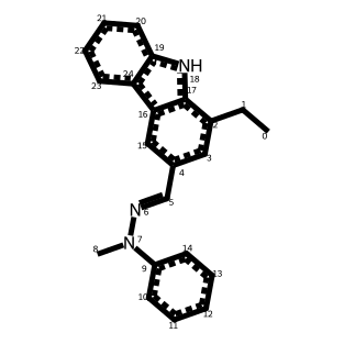 CCc1cc(C=NN(C)c2ccccc2)cc2c1[nH]c1ccccc12